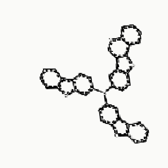 c1ccc2c(c1)ncc1c3cc(N(c4ccc5c(c4)oc4ccccc45)c4ccc5oc6ccccc6c5c4)ccc3sc21